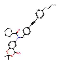 CCCCc1ccc(C#Cc2ccc(CN(C(=O)C3CCCCC3)c3ccc4c(c3)C(=O)OC(C)(C)O4)cc2)cc1